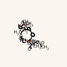 C=CC(=O)N1CCC(C(=O)N(C)[C@H](C(=O)N[C@H]2Cc3cccc(c3)-c3ccc4c(c3)c(c(-c3cccnc3[C@H](C)OC)n4CC)CC(C)(C)COC(=O)[C@@H]3CCCN(N3)C2=O)C2COC2)C1